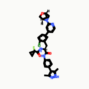 Cc1n[nH]c(C)c1-c1ccc(NC(=O)[C@H](Cc2cc(-c3ccnc(N4C[C@H]5C[C@@H]4CO5)c3)ccc2Cl)NC(=O)C2(F)CC2)cc1